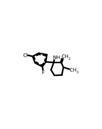 C=C1C(C)CCCC1(N)c1ccc(Cl)cc1F